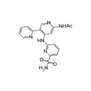 CC(=O)Nc1cc(Nc2cccc(S(N)(=O)=O)n2)c(-c2ccccn2)cn1